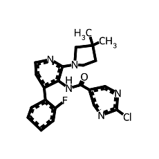 CC1(C)CCN(c2nccc(-c3ccccc3F)c2NC(=O)c2cnc(Cl)nc2)C1